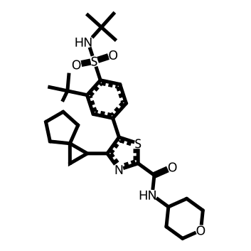 CC(C)(C)NS(=O)(=O)c1ccc(-c2sc(C(=O)NC3CCOCC3)nc2C2CC23CCCC3)cc1C(C)(C)C